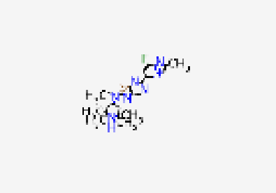 CCN(c1nc2cnc(-c3cc(F)c4nc(C)cn4c3)nc2s1)C1CC(C)(C)NC(C)(C)C1